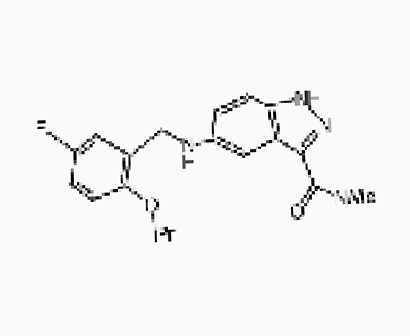 CNC(=O)c1n[nH]c2ccc(NCc3cc(F)ccc3OC(C)C)cc12